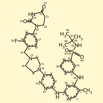 Cc1cnc(Nc2ccc(N3CCN(Cc4ccc(N5CCC(=O)NC5=O)cc4F)CC3)nn2)nc1Nc1cccc(S(=O)(=O)NC(C)(C)C)c1